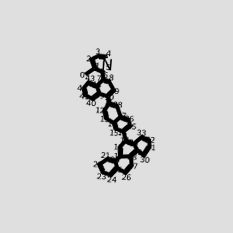 Cc1cccnc1-c1ccc(-c2ccc3cc(-c4cc5c6ccccc6ccc5c5ccccc45)ccc3c2)c2ccccc12